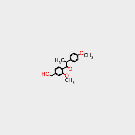 COc1ccc(C(C)C(=O)c2ccc(CO)cc2OC)cc1